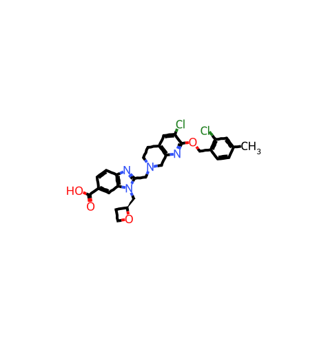 Cc1ccc(COc2nc3c(cc2Cl)CCN(Cc2nc4ccc(C(=O)O)cc4n2C[C@@H]2CCO2)C3)c(Cl)c1